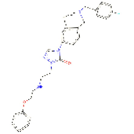 O=c1n(-c2ccc3c(c2)CCN(Cc2ccc(F)cc2)C3)cnn1CCNCCOc1ccccc1